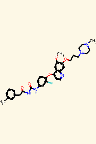 COc1cc2c(Oc3ccc(NC(=O)NC(=O)Cc4cccc(C)c4)cc3F)ccnc2cc1OCCCN1CCN(C)CC1